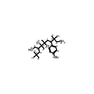 CCC(C)(CC(c1ccc(C(C)(C)C)cc1)C(C)(I)CN)C(C)(CC)C(CO)CC(C)(C)I